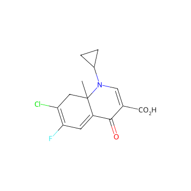 CC12CC(Cl)=C(F)C=C1C(=O)C(C(=O)O)=CN2C1CC1